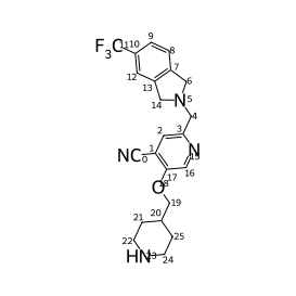 N#Cc1cc(CN2Cc3ccc(C(F)(F)F)cc3C2)ncc1OCC1CCNCC1